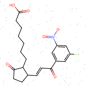 O=C(O)CCCCCCC1C(=O)CCC1C=CC(=O)c1cc(F)cc([N+](=O)[O-])c1